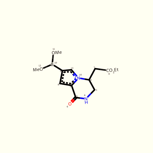 CCOC(=O)CC1CNC(=O)c2cc(B(OC)OC)cn21